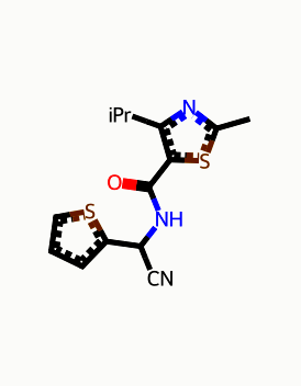 Cc1nc(C(C)C)c(C(=O)NC(C#N)c2cccs2)s1